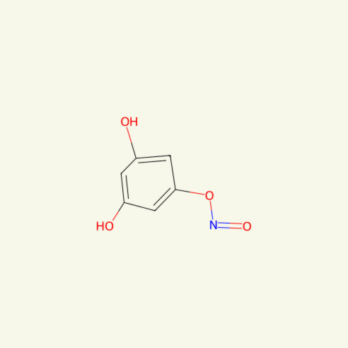 O=NOc1cc(O)cc(O)c1